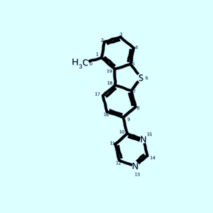 Cc1cccc2sc3cc(-c4ccncn4)ccc3c12